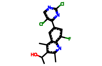 Cc1nc2c(F)cc(-c3nc(Cl)ncc3Cl)cc2c(C)c1C(C)O